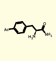 CC(=O)c1ccc(C[C@H](N)C(N)=O)cc1